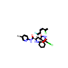 C=C(Cl)/C=C\C=C(/F)[C@H]1[C@H](C(=O)Nc2ccc(C(C)=O)cn2)NC2(CCCCC2)[C@@]12C(=O)Nc1cc(Cl)ccc12